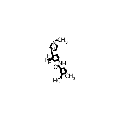 C#Cc1cc(C(=O)Nc2ccc(CN3CCN(CC)CC3)c(C(F)(F)F)c2)ccc1C